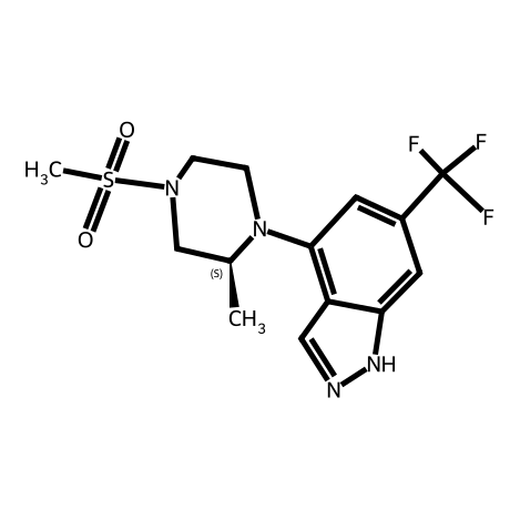 C[C@H]1CN(S(C)(=O)=O)CCN1c1cc(C(F)(F)F)cc2[nH]ncc12